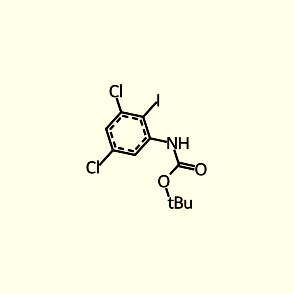 CC(C)(C)OC(=O)Nc1cc(Cl)cc(Cl)c1I